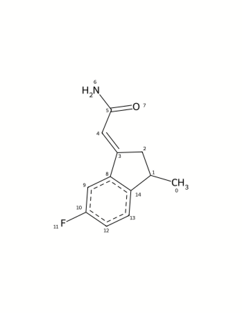 CC1C/C(=C\C(N)=O)c2cc(F)ccc21